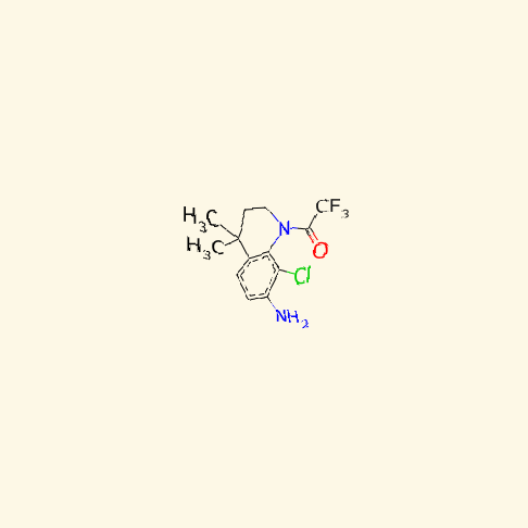 CC1(C)CCN(C(=O)C(F)(F)F)c2c1ccc(N)c2Cl